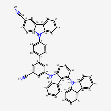 N#Cc1cc(-c2ccc(-n3c4ccccc4c4cc(C#N)ccc43)cc2)cc(-n2c3ccccc3c3c(-n4c5ccccc5c5ccccc54)cccc32)c1